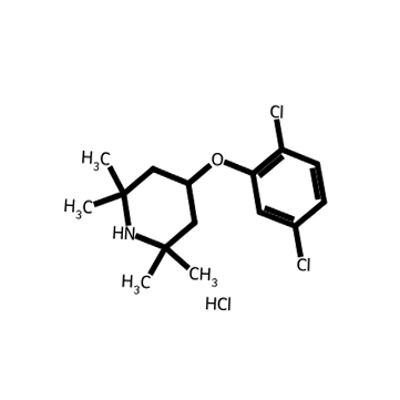 CC1(C)CC(Oc2cc(Cl)ccc2Cl)CC(C)(C)N1.Cl